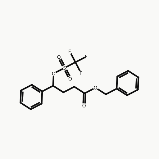 O=C(CCC(OS(=O)(=O)C(F)(F)F)c1ccccc1)OCc1ccccc1